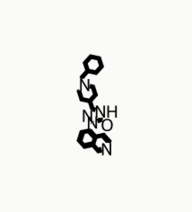 O=c1[nH]c(C2CCN(CC3CCCCC3)CC2)nn1-c1cccc2cnccc12